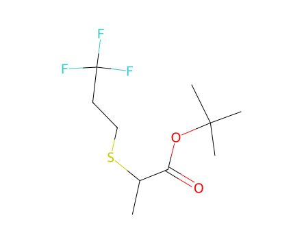 CC(SCCC(F)(F)F)C(=O)OC(C)(C)C